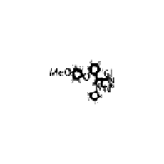 COc1ccc(Oc2ccccc2-c2cn(C3CCCC3)c3ncnc(Cl)c23)cc1